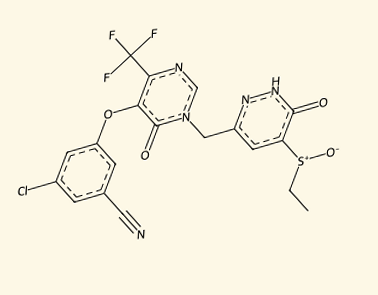 CC[S+]([O-])c1cc(Cn2cnc(C(F)(F)F)c(Oc3cc(Cl)cc(C#N)c3)c2=O)n[nH]c1=O